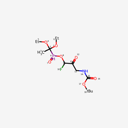 CCOC(C)(OCC)[PH](=O)OC(F)C(=O)CNC(=O)OC(C)(C)C